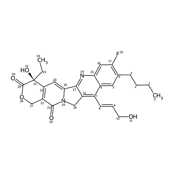 CCCCc1cc2c(/C=C/CO)c3c(nc2cc1F)-c1cc2c(c(=O)n1C3)COC(=O)[C@]2(O)CC